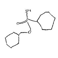 O=P(S)(OC1CCCCC1)C1CCCCC1